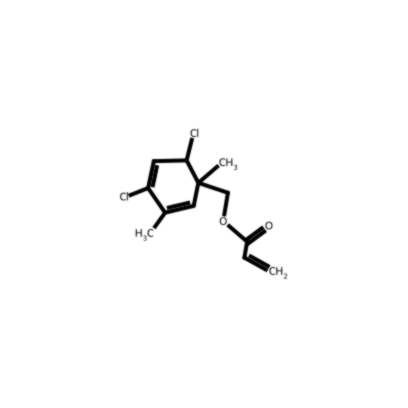 C=CC(=O)OCC1(C)C=C(C)C(Cl)=CC1Cl